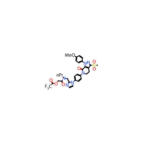 CCCN(Cc1nccn1-c1ccc(N2CCc3c(S(C)(=O)=O)nn(-c4ccc(OC)cc4)c3C2=O)cc1)C(=O)COC(=O)C(F)(F)F